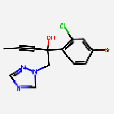 CC#CC(O)(Cn1cncn1)c1ccc(Br)cc1Cl